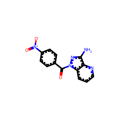 Nc1nn(C(=O)c2ccc([N+](=O)[O-])cc2)c2cccnc12